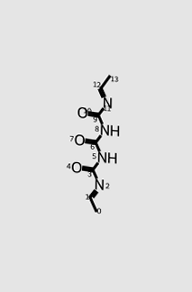 CC=NC(=O)NC(=O)NC(=O)N=CC